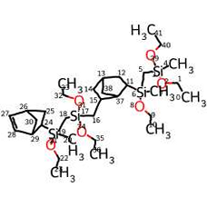 CCO[Si](C)(C[Si](C)(OCC)C1CC2CC(C[Si](C[Si](C)(OCC)C3CC4C=CC3C4)(OCC)OCC)C1C2)OCC